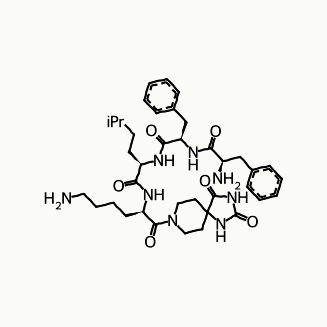 CC(C)CC[C@@H](NC(=O)[C@@H](Cc1ccccc1)NC(=O)[C@H](N)Cc1ccccc1)C(=O)N[C@H](CCCCN)C(=O)N1CCC2(CC1)NC(=O)NC2=O